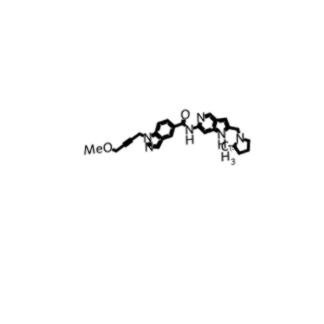 COCC#CCn1ncc2cc(C(=O)Nc3cc4[nH]c(CN5CCC[C@@H]5C)cc4cn3)ccc21